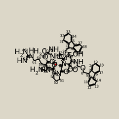 C[C@@H](O)[C@H](NC(=O)OCC1c2ccccc2-c2ccccc21)C(=O)N(C(=O)OCC1c2ccccc2-c2ccccc21)[C@@H](CCCCN)C(=O)N1CCC[C@H]1C(=O)N[C@@H](CCCNC(=N)N)C(=O)OC(C)(N)N